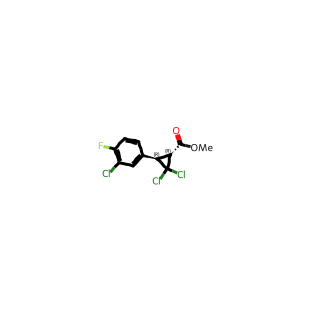 COC(=O)[C@H]1[C@H](c2ccc(F)c(Cl)c2)C1(Cl)Cl